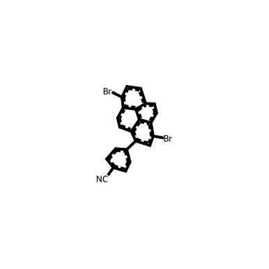 N#Cc1ccc(-c2cc(Br)c3ccc4ccc(Br)c5ccc2c3c45)cc1